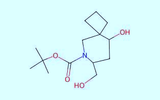 CC(C)(C)OC(=O)N1CC2(CCC2)C(O)CC1CO